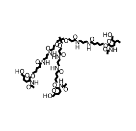 CCC1CC(NC(C)=O)C(OCCCCC(=O)NCCCNC(=O)CCOCC(C)(COCCC(=O)NCCCNC(=O)CCCCOC2OC(CO)CCC2NC(C)=O)COCCC(=O)NCCCNC(=O)CCCCOC2OC(CO)CCC2NC(C)=O)OC1CO